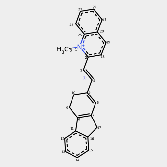 C[n+]1c(/C=C/C2=CC3=C(CC2)c2ccccc2C3)ccc2ccccc21